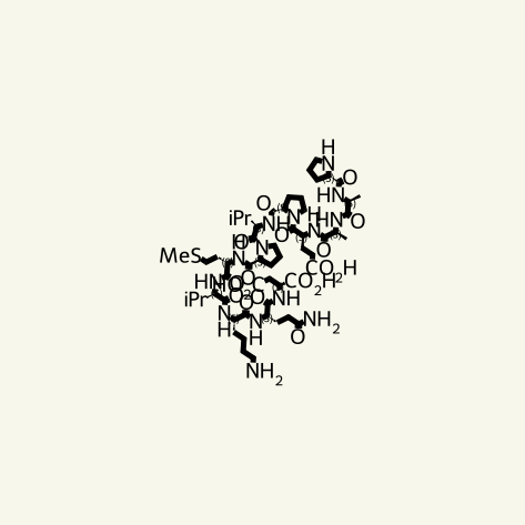 CSCC[C@H](NC(=O)[C@@H]1CCCN1C(=O)[C@@H](NC(=O)[C@@H]1CCCN1C(=O)[C@H](CCC(=O)O)NC(=O)[C@H](C)NC(=O)[C@H](C)NC(=O)[C@@H]1CCCN1)C(C)C)C(=O)N[C@H](C(=O)N[C@@H](CCCCN)C(=O)N[C@@H](CCC(N)=O)C(=O)N[C@@H](CC(=O)O)C(=O)O)C(C)C